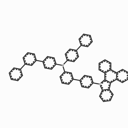 c1ccc(-c2ccc(N(c3ccc(-c4cccc(-c5ccccc5)c4)cc3)c3cccc(-c4ccc(-n5c6ccccc6c6c7ccccc7c7ccccc7c65)cc4)c3)cc2)cc1